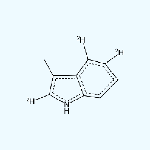 [2H]c1ccc2[nH]c([2H])c(C)c2c1[2H]